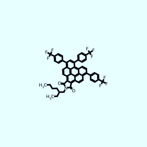 CCCCC(CC)Cn1c(=O)c2c3ccc4c(-c5ccc(C(F)(F)F)cc5)ccc5c6c(-c7ccc(C(F)(F)F)cc7)cc(-c7ccc(C(F)(F)F)cc7)c7ccc(c2c1=O)c(c76)c3c45